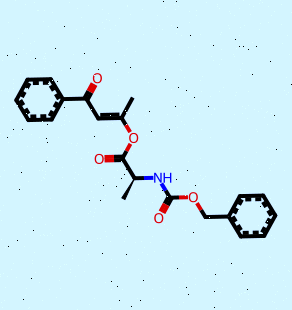 C/C(=C\C(=O)c1ccccc1)OC(=O)[C@H](C)NC(=O)OCc1ccccc1